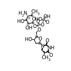 Cc1cn([C@H]2CC(O)[C@@H](COP(=O)(O[C@@H]3O[C@H](C)[C@@H](N)[C@H](O)[C@H]3O)OP(=O)(O)O)O2)c(=O)[nH]c1=O